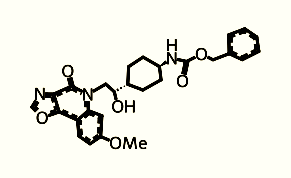 COc1ccc2c3ocnc3c(=O)n(CC(O)[C@H]3CC[C@H](NC(=O)OCc4ccccc4)CC3)c2c1